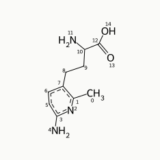 Cc1nc(N)ccc1CCC(N)C(=O)O